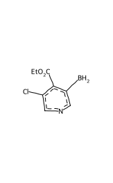 Bc1cncc(Cl)c1C(=O)OCC